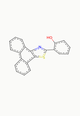 Oc1ccccc1-c1nc2c3ccccc3c3ccccc3c2s1